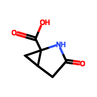 O=C1CC2CC2(C(=O)O)N1